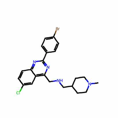 CN1CCC(CNCc2nc(-c3ccc(Br)cc3)nc3ccc(Cl)cc23)CC1